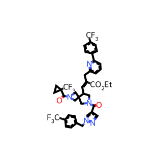 CCOC(=O)/C(=C\C1CN(C(=O)c2cnn(Cc3ccc(C(F)(F)F)cc3)c2)CC12CN(C(=O)C1(C(F)(F)F)CC1)C2)Cc1cccc(-c2ccc(C(F)(F)F)cc2)n1